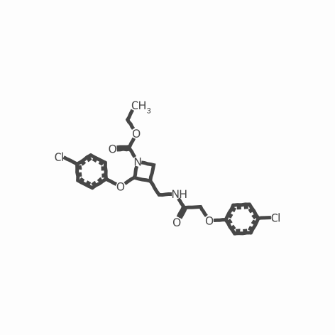 CCOC(=O)N1CC(CNC(=O)COc2ccc(Cl)cc2)C1Oc1ccc(Cl)cc1